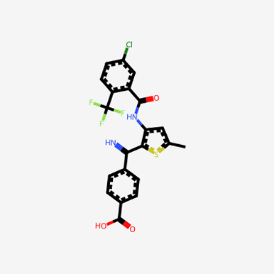 Cc1cc(NC(=O)c2cc(Cl)ccc2C(F)(F)F)c(C(=N)c2ccc(C(=O)O)cc2)s1